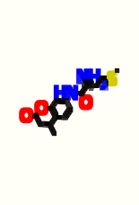 CSCC[C@H](N)C(=O)Nc1ccc2c(C)cc(=O)oc2c1